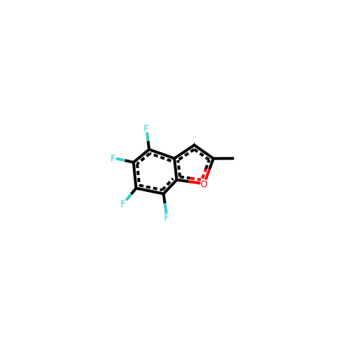 Cc1[c]c2c(F)c(F)c(F)c(F)c2o1